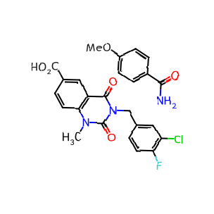 COc1ccc(C(N)=O)cc1.Cn1c(=O)n(Cc2ccc(F)c(Cl)c2)c(=O)c2cc(C(=O)O)ccc21